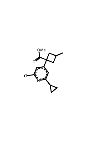 COC(=O)C1(c2cc(Cl)nc(C3CC3)c2)CC(C)C1